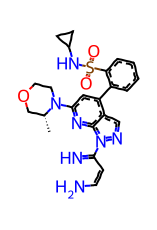 C[C@@H]1COCCN1c1cc(-c2ccccc2S(=O)(=O)NC2CC2)c2cnn(C(=N)/C=C\N)c2n1